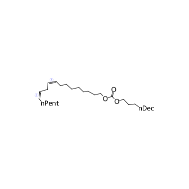 CCCCC/C=C\C/C=C\CCCCCCCCOC(=O)OCCCCCCCCCCCCC